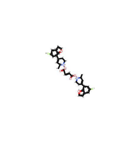 CC1C=C(c2cc(F)cc3ccoc23)CCN1OC(=O)/C=C/C(=O)ON1CCC(c2cc(F)cc3ccoc23)=CC1C